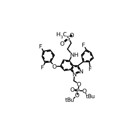 CC(C)(C)OP(=O)(OCn1nc(-c2cc(F)ccc2F)c2c(NCCS(C)(=O)=O)cc(Oc3ccc(F)cc3F)cc21)OC(C)(C)C